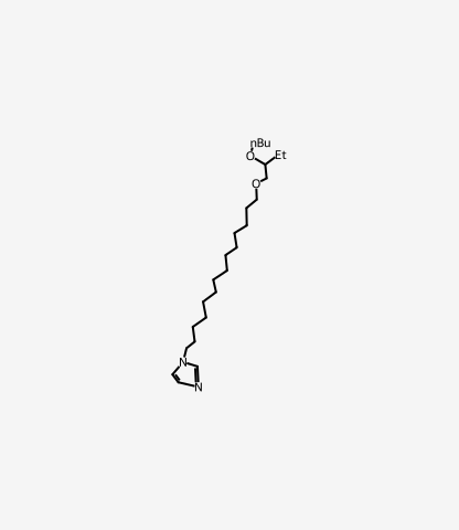 CCCCOC(CC)COCCCCCCCCCCCCCCn1ccnc1